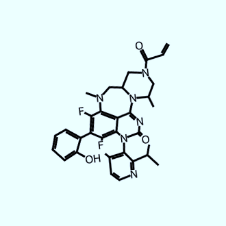 C=CC(=O)N1CC(C)N2c3nc(=O)n(-c4c(C)ccnc4C(C)C)c4c(F)c(-c5ccccc5O)c(F)c(c34)N(C)CC2C1